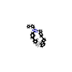 CC1(C)c2ccccc2-c2ccc(-c3ccc4c(-c5nc(-c6cccc(-c7ccccc7)c6)nc(-c6cccc(-c7ccccc7)c6)n5)cccc4c3)cc21